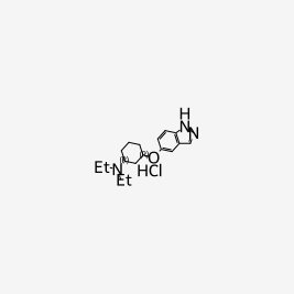 CCN(CC)[C@@H]1CCC[C@@H](Oc2ccc3[nH]ncc3c2)C1.Cl